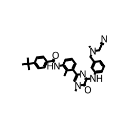 Cc1c(NC(=O)c2ccc(C(C)(C)C)cc2)cccc1-c1cn(C)c(=O)c(Nc2cccc(CN(C)CC#N)c2)n1